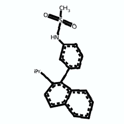 CC(C)c1ccc2ccccc2c1-c1cccc(NS(C)(=O)=O)c1